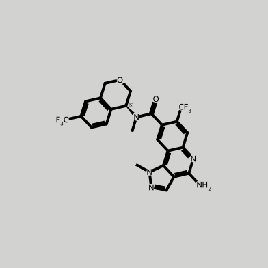 CN(C(=O)c1cc2c(cc1C(F)(F)F)nc(N)c1cnn(C)c12)[C@@H]1COCc2cc(C(F)(F)F)ccc21